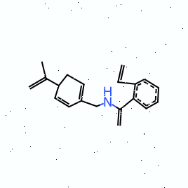 C=Cc1ccccc1C(=C)NCC1=CCC(C(=C)C)C=C1